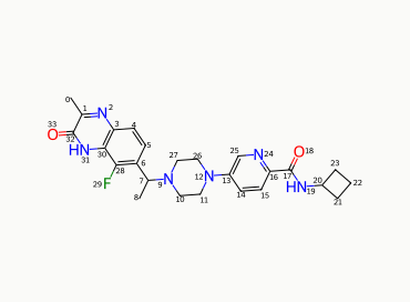 Cc1nc2ccc(C(C)N3CCN(c4ccc(C(=O)NC5CCC5)nc4)CC3)c(F)c2[nH]c1=O